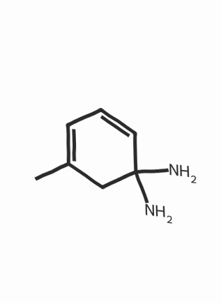 CC1=CC=CC(N)(N)C1